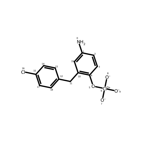 Nc1ccc(O[Cl+3]([O-])([O-])[O-])c(Cc2ccc(Cl)cc2)c1